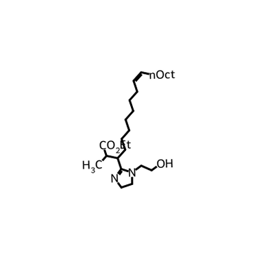 CCCCCCCC/C=C\CCCCCCCC(C1=NCCN1CCO)C(C)C(=O)OCC